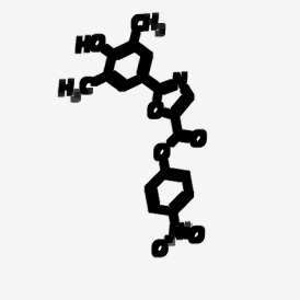 Cc1cc(-c2ncc(C(=O)Oc3ccc([N+](=O)[O-])cc3)o2)cc(C)c1O